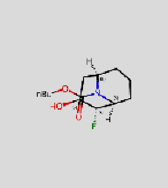 CCCCOC(=O)N1[C@@H]2CCC[C@H]1[C@H](F)[C@@H](O)C2